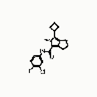 Cn1c(C(=O)Nc2ccc(F)c(Cl)c2)c2c(c1C1CCC1)[CH]CC2